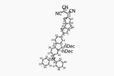 CCCCCCCCCCC1(CCCCCCCCCC)c2cc(-c3cc4sc5cc(C(C#N)=C(C#N)C#N)sc5c4s3)ccc2-c2ccc(N(c3ccccc3)c3ccccc3)cc21